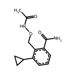 CC(=O)NOCc1c(C(N)=O)cccc1C1CC1